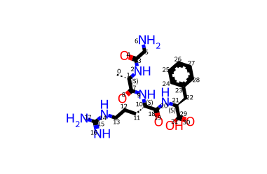 C[C@H](NC(=O)CN)C(=O)N[C@@H](CCCNC(=N)N)C(=O)N[C@@H](Cc1ccccc1)C(=O)O